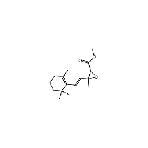 COC(=O)C1OC1(C)/C=C/C1=C(C)CCCC1(C)C